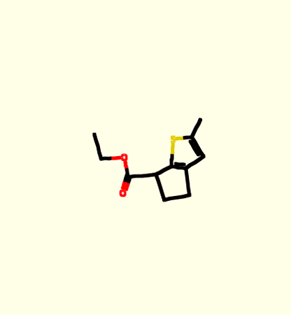 CCOC(=O)C1CCc2cc(C)sc21